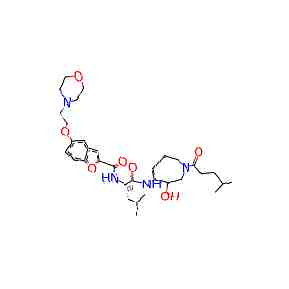 CC(C)CCC(=O)N1CCCC(NC(=O)[C@H](CC(C)C)NC(=O)c2cc3cc(OCCN4CCOCC4)ccc3o2)C(O)C1